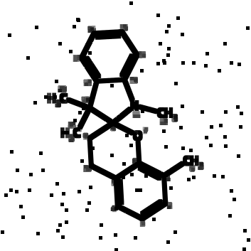 Cc1cccc2c1OC1(CC2)N(C)c2ccccc2C1(C)C